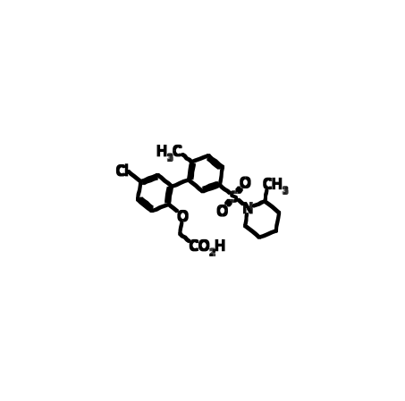 Cc1ccc(S(=O)(=O)N2CCCCC2C)cc1-c1cc(Cl)ccc1OCC(=O)O